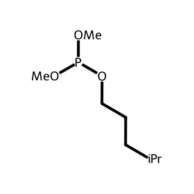 COP(OC)OCCCC(C)C